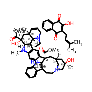 CC(C)=CCC1=C(O)C(=O)c2ccccc2C1=O.CC[C@@]1(O)C[C@H]2C[N@](CCc3c([nH]c4ccccc34)[C@@](C(=O)OC)(c3cc4c(cc3OC)N(C)[C@H]3[C@@](O)(C(=O)OC)[C@H](OC(C)=O)[C@]5(CC)C=CCN6CC[C@]43[C@@H]65)C2)C1